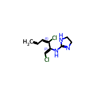 C=C/C=C(Cl)\C(=C\Cl)NC1=NCCN1